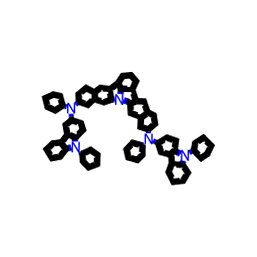 c1ccc(N(c2ccc3cc4c5cccc6c7cc8ccc(N(c9ccccc9)c9ccc%10c(c9)c9ccccc9n%10-c9ccccc9)cc8cc7n(c4cc3c2)c56)c2ccc3c(c2)c2ccccc2n3-c2ccccc2)cc1